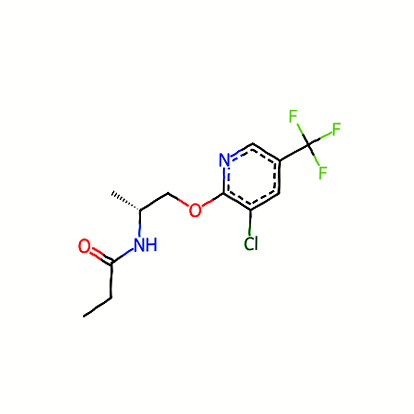 CCC(=O)N[C@H](C)COc1ncc(C(F)(F)F)cc1Cl